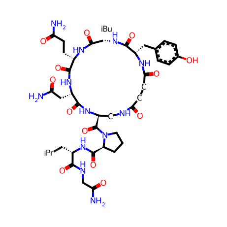 CC[C@H](C)[C@@H]1NC(=O)[C@H](Cc2ccc(O)cc2)NC(=O)CCC(=O)NC[C@@H](C(=O)N2CCC[C@H]2C(=O)N[C@@H](CC(C)C)C(=O)NCC(N)=O)NC(=O)[C@H](CC(N)=O)NC(=O)[C@H](CCC(N)=O)NC1=O